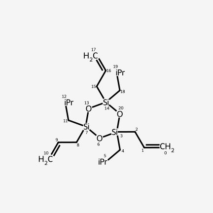 C=CC[Si]1(CC(C)C)O[Si](CC=C)(CC(C)C)O[Si](CC=C)(CC(C)C)O1